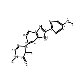 COc1ccc(-c2nc3ccc(C4C=NN(C)C(=O)C4C)cc3[nH]2)cc1